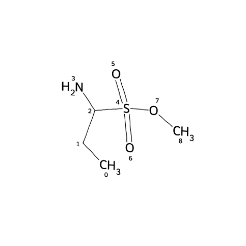 CCC(N)S(=O)(=O)OC